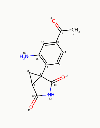 CC(=O)c1ccc(C23CC2C(=O)NC3=O)c(N)c1